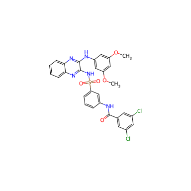 COc1cc(Nc2nc3ccccc3nc2NS(=O)(=O)c2cccc(NC(=O)c3cc(Cl)cc(Cl)c3)c2)cc(OC)c1